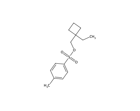 CCC1(COS(=O)(=O)c2ccc(C)cc2)CCC1